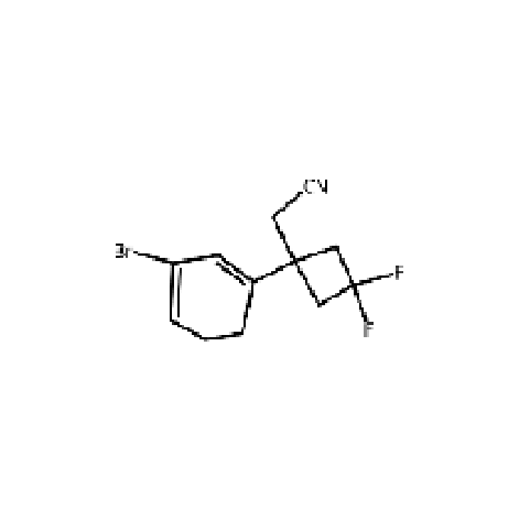 N#CCC1(C2=CC(Br)=CCC2)CC(F)(F)C1